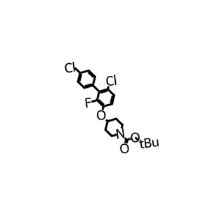 CC(C)(C)OC(=O)N1CCC(Oc2ccc(Cl)c(-c3ccc(Cl)cc3)c2F)CC1